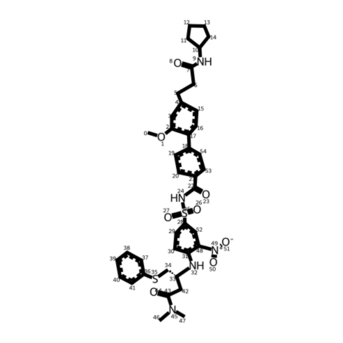 COc1cc(CCC(=O)NC2CCCC2)ccc1-c1ccc(C(=O)NS(=O)(=O)c2ccc(N[C@@H](CSc3ccccc3)CC(=O)N(C)C)c([N+](=O)[O-])c2)cc1